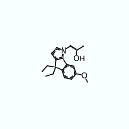 CCC1(CC)c2ccc(OC)cc2-c2c1ccn2CC(C)O